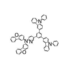 c1ccc(-n2c3ccccc3c3cc(-c4cc(-c5ccc(N(c6ccc7oc8ccccc8c7c6)c6ccc7oc8ccccc8c7c6)nc5)cc(-c5ccc6c(c5)c5ccccc5n6-c5ccccc5)c4)ccc32)cc1